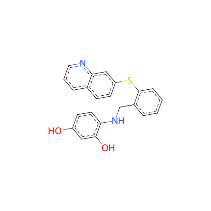 Oc1ccc(NCc2ccccc2Sc2ccc3cccnc3c2)c(O)c1